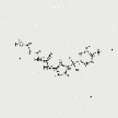 CC(C)(c1ccc(Br)cc1)c1csc(NC(=O)NCCCO)n1